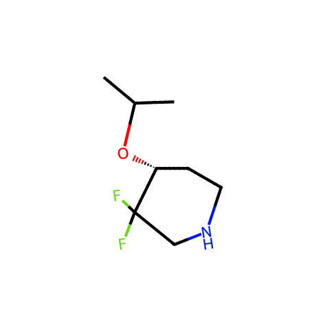 CC(C)O[C@@H]1CCNCC1(F)F